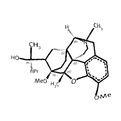 CCC[C@@](C)(O)C1C[C@@]23CC[C@]1(OC)[C@@]1(C)Oc4c(OC)ccc5c4[C@]21CCN(C)[C@@H]3C5